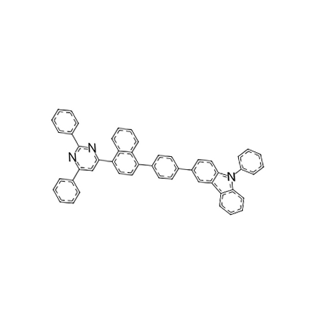 c1ccc(-c2cc(-c3ccc(-c4ccc(-c5ccc6c(c5)c5ccccc5n6-c5ccccc5)cc4)c4ccccc34)nc(-c3ccccc3)n2)cc1